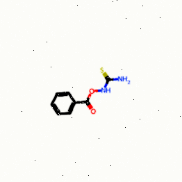 NC(=S)NOC(=O)c1ccccc1